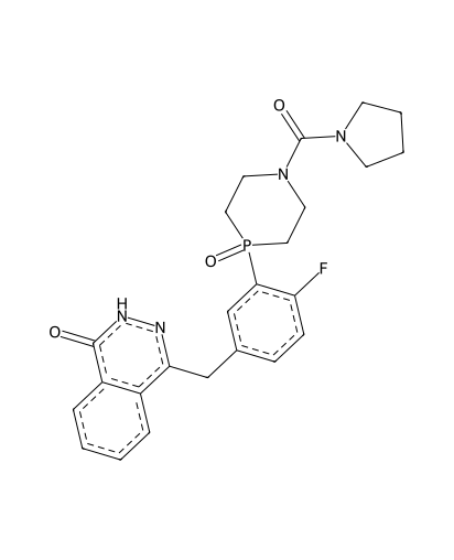 O=C(N1CCCC1)N1CCP(=O)(c2cc(Cc3n[nH]c(=O)c4ccccc34)ccc2F)CC1